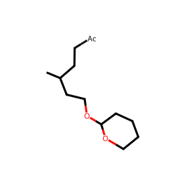 CC(=O)CCC(C)CCOC1CCCCO1